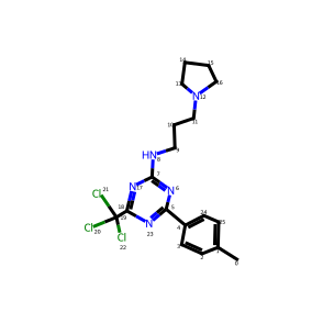 Cc1ccc(-c2nc(NCCCN3CCCC3)nc(C(Cl)(Cl)Cl)n2)cc1